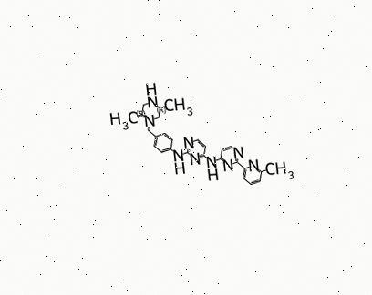 Cc1cccc(-c2nccc(Nc3ccnc(Nc4ccc(CN5C[C@@H](C)NC[C@@H]5C)cc4)n3)n2)n1